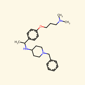 CC(NC1CCN(Cc2ccccc2)CC1)c1ccc(OCCCN(C)C)cc1